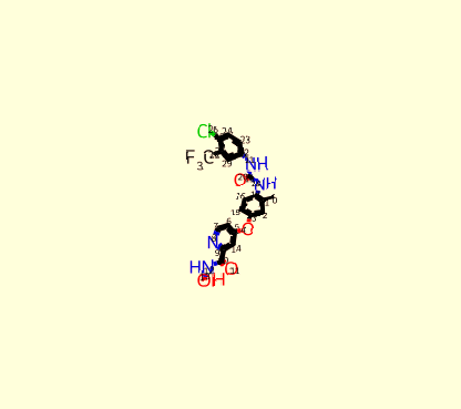 Cc1cc(Oc2ccnc(C(=O)NO)c2)ccc1NC(=O)Nc1ccc(Cl)c(C(F)(F)F)c1